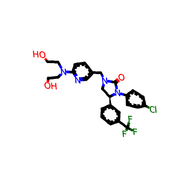 O=C1N(Cc2ccc(N(CCO)CCO)nc2)C[C@H](c2cccc(C(F)(F)F)c2)N1c1ccc(Cl)cc1